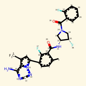 Cc1ccc(-c2cc(C(F)(F)F)c3c(N)ncnn23)c(F)c1C(=O)N[C@@H]1CN(C(=O)c2ccccc2F)C[C@@H]1F